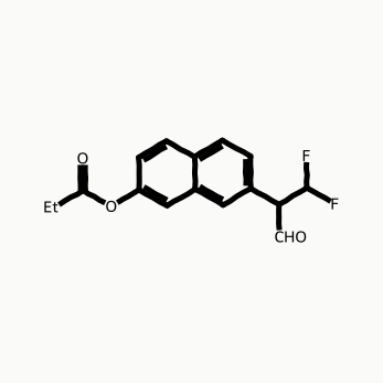 CCC(=O)Oc1ccc2ccc(C(C=O)C(F)F)cc2c1